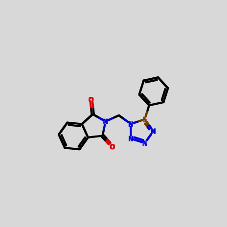 O=C1c2ccccc2C(=O)N1CN1N=NN=S1c1ccccc1